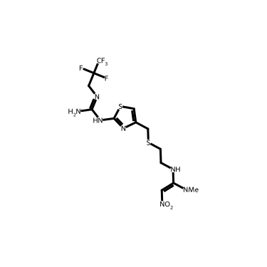 CNC(=C[N+](=O)[O-])NCCSCc1csc(NC(N)=NCC(F)(F)C(F)(F)F)n1